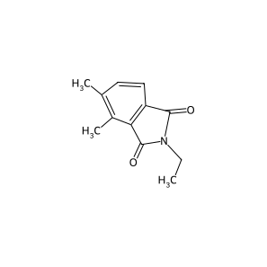 CCN1C(=O)c2ccc(C)c(C)c2C1=O